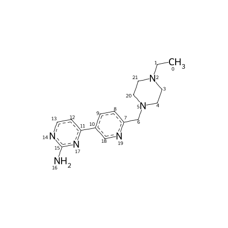 CCN1CCN(Cc2ccc(-c3ccnc(N)n3)cn2)CC1